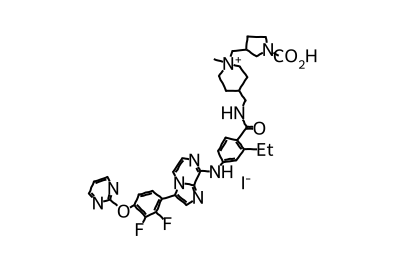 CCc1cc(Nc2nccn3c(-c4ccc(Oc5ncccn5)c(F)c4F)cnc23)ccc1C(=O)NCC1CC[N+](C)(CC2CCN(C(=O)O)C2)CC1.[I-]